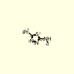 CC(C)c1nnc(NI)s1